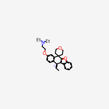 C/C=C1/c2ccc(OCCN(CC)CC)cc2C2(CCOCC2)c2oc3ccccc3c21